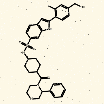 Cc1cc(CO)ccc1-c1cc2ccc(S(=O)(=O)NC3CCC(C(=O)N4CCOCC4c4ccccc4)CC3)cc2[nH]1